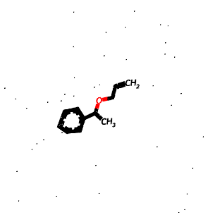 C=CCOC(C)c1ccccc1